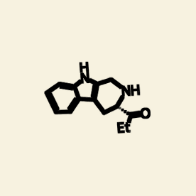 CCC(=O)[C@@H]1Cc2c([nH]c3ccccc23)CN1